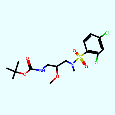 COC(CNC(=O)OC(C)(C)C)CN(C)S(=O)(=O)c1ccc(Cl)cc1Cl